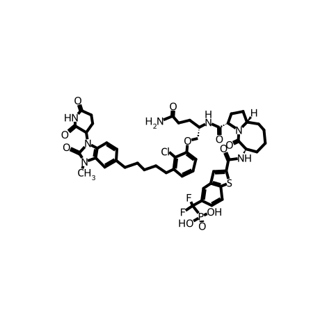 Cn1c(=O)n(C2CCC(=O)NC2=O)c2ccc(CCCCCc3cccc(OC[C@H](CCC(N)=O)NC(=O)[C@@H]4CC[C@@H]5CCCC[C@H](NC(=O)c6cc7cc(C(F)(F)P(=O)(O)O)ccc7s6)C(=O)N54)c3Cl)cc21